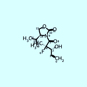 C=C[C@@H](O)[C@@](C)(F)C(=O)N1C(=O)OC[C@@H]1C(C)C